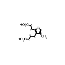 Cc1coc(CCC(=O)O)c1CCCC(=O)O